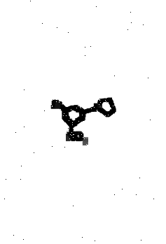 O=[N+]([O-])c1cc(Br)cc(N2CCCC2)c1